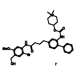 COc1cc(NC(=O)CCCc2ccc(-c3ccccc3)c(NC(=O)OC3CC[N+](C)(C)CC3)c2)c(Br)cc1CO.[I-]